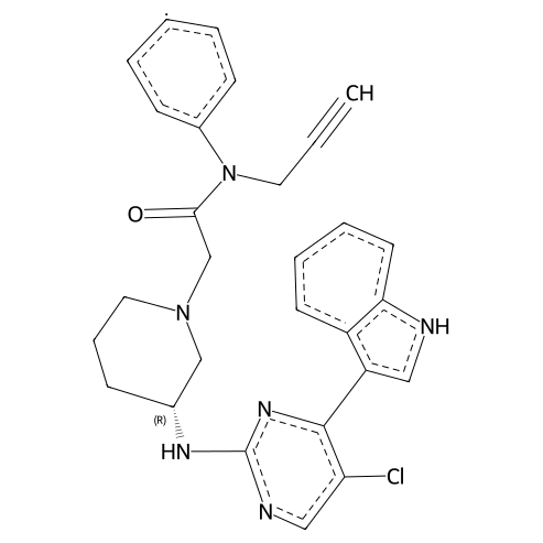 C#CCN(C(=O)CN1CCC[C@@H](Nc2ncc(Cl)c(-c3c[nH]c4ccccc34)n2)C1)c1cc[c]cc1